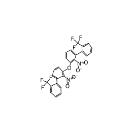 O=[N+]([O-])c1c(Oc2cccc(-c3ccccc3C(F)(F)F)c2[N+](=O)[O-])cccc1-c1ccccc1C(F)(F)F